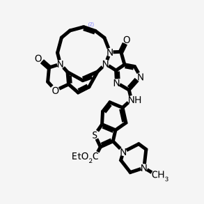 CCOC(=O)c1sc2ccc(Nc3ncc4c(=O)n5n(c4n3)-c3ccc4c(c3)N(CCC/C=C\C5)C(=O)CO4)cc2c1N1CCN(C)CC1